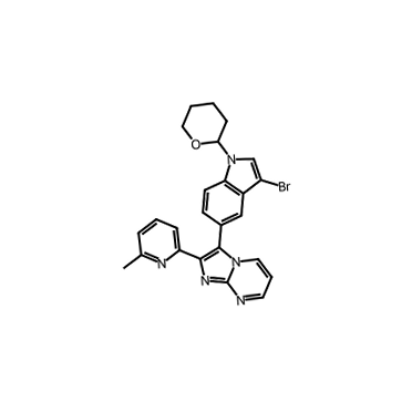 Cc1cccc(-c2nc3ncccn3c2-c2ccc3c(c2)c(Br)cn3C2CCCCO2)n1